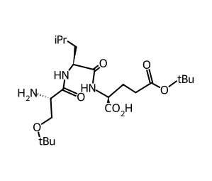 CC(C)C[C@H](NC(=O)[C@@H](N)COC(C)(C)C)C(=O)N[C@@H](CCC(=O)OC(C)(C)C)C(=O)O